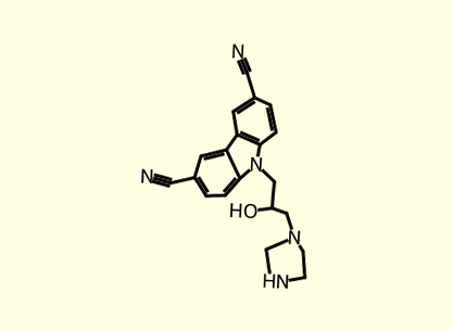 N#Cc1ccc2c(c1)c1cc(C#N)ccc1n2CC(O)CN1CCNCC1